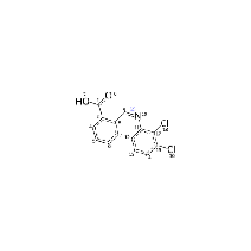 O=C(O)c1ccccc1/C=N\c1cccc(Cl)c1Cl